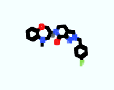 CN1C[C@H](N2CCc3cn(Cc4ccc(F)cc4)nc3C2=O)COc2ccccc21